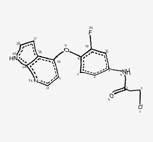 O=C(CCl)Nc1ccc(Oc2ccnc3[nH]ccc23)c(F)c1